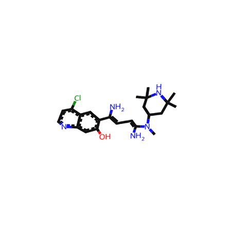 CN(/C(N)=C/C=C(\N)c1cc2c(Cl)ccnc2cc1O)C1CC(C)(C)NC(C)(C)C1